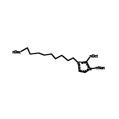 CCCCCCCCCCCCCCCCCCC[n+]1ccn(CCCCCCCCC)c1CCCCCCCC